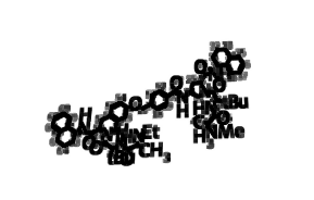 CCNC(C)C(=O)NC(C(=O)N1Cc2cc(OCc3ccc(C(=O)N[C@H]4C[C@@H](C(=O)N[C@@H]5CCCc6ccccc65)N(C(=O)C(NC(=O)C(C)NC)C(C)(C)C)C4)cc3)ccc2CC1C(=O)N[C@@H]1CCCc2ccccc21)C(C)(C)C